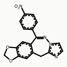 O=[N+]([O-])c1ccc(C2=Nn3ccnc3Cc3cc4c(cc32)OCO4)cc1